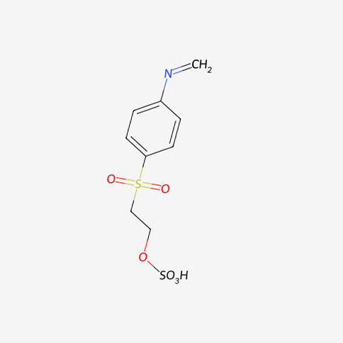 C=Nc1ccc(S(=O)(=O)CCOS(=O)(=O)O)cc1